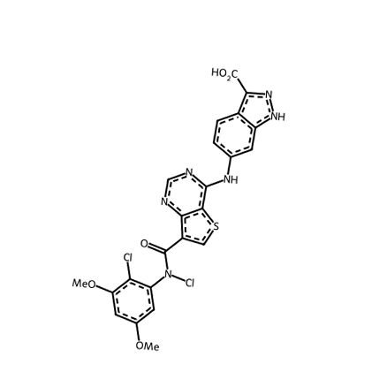 COc1cc(OC)c(Cl)c(N(Cl)C(=O)c2csc3c(Nc4ccc5c(C(=O)O)n[nH]c5c4)ncnc23)c1